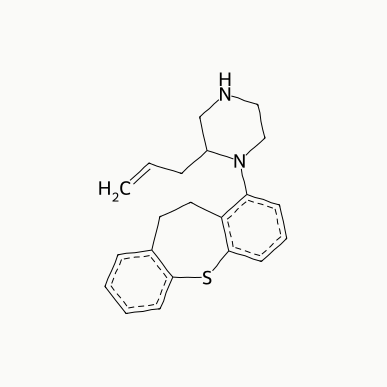 C=CCC1CNCCN1c1cccc2c1CCc1ccccc1S2